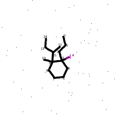 CCCC1(I)CCCCC1(C)C(C)CC